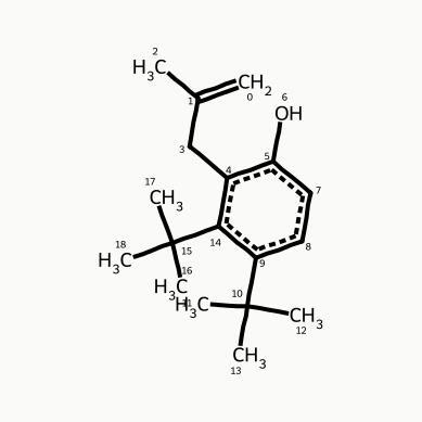 C=C(C)Cc1c(O)ccc(C(C)(C)C)c1C(C)(C)C